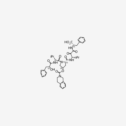 CCCC(NC(=O)[C@@H]1C[C@@H](OC(=O)N2CCc3ccccc3C2)CN1C(=O)C(NC(=O)[C@@H](O)Cc1ccccc1)C(C)C)C(=O)C(=O)N[C@@H](Cc1ccccc1)C(=O)O